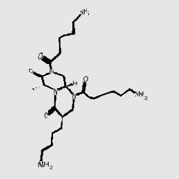 C[C@@H]1C(=O)N(C(=O)CCCCN)C[C@@H]2N(C(=O)CCCCN)C[C@@H](CCCCN)C(=O)N12